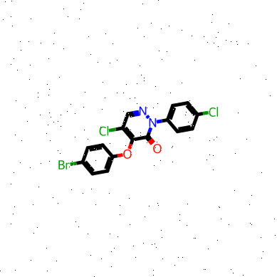 O=c1c(Oc2ccc(Br)cc2)c(Cl)cnn1-c1ccc(Cl)cc1